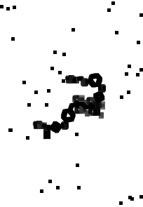 CC(C)(C)COc1cccc(O[C@H]2C[C@@H](NC(C)(C)CCC(C)(C)Cc3ccc(O[C@H]4C[C@@H](NC(C)(C)C)C4)cc3)C2)c1